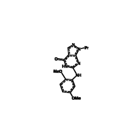 COc1ccc(OC)c(Nc2nc3c(cnn3C(C)C)c(=O)[nH]2)c1